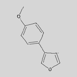 COc1ccc(-c2[c]coc2)cc1